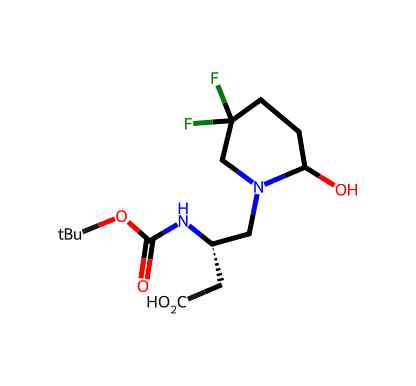 CC(C)(C)OC(=O)N[C@@H](CC(=O)O)CN1CC(F)(F)CCC1O